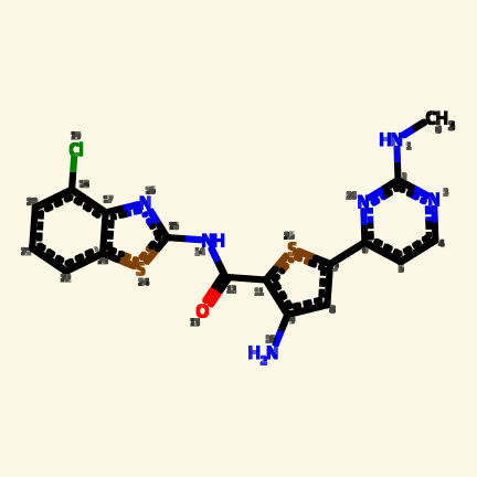 CNc1nccc(-c2cc(N)c(C(=O)Nc3nc4c(Cl)cccc4s3)s2)n1